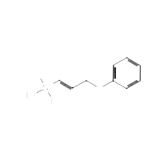 CC[N+](O)(/C=C/CSc1ccccc1)CC